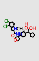 Cn1c(C(=O)NC2(c3ccc(C(C(O)O)C4CCCC4)cc3)CCOC2)cc2c(Cl)c(Cl)ccc21